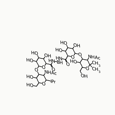 CC(=O)NC1C(C(C)C)OC(CO)C(O)C1OC1OC(C(=O)NBNC(=O)C2OC(OC3C(O)C(CO)OC(C)(C)C3NC(C)=O)C(O)C(O)C2O)C(O)C(O)C1O